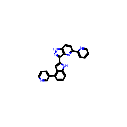 c1ccc(-c2ccc3[nH]nc(-c4cc5c(-c6cccnc6)cccc5[nH]4)c3n2)nc1